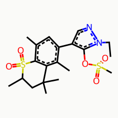 CCn1ncc(-c2cc(C)c3c(c2C)C(C)(C)CC(C)S3(=O)=O)c1OS(C)(=O)=O